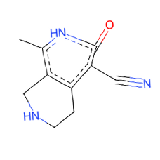 Cc1[nH]c(=O)c(C#N)c2c1CNCC2